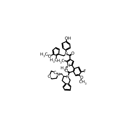 COc1cc(C(=O)N2Cc3ccccc3C[C@H]2CN2CCOCC2)c(-c2cc(C(=O)N(Cc3cccc(OC)c3C)c3ccc(O)cc3)c(C)n2C)cc1F